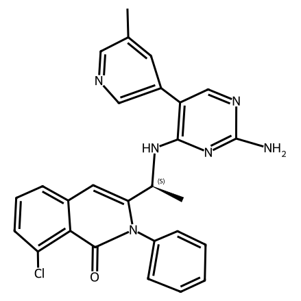 Cc1cncc(-c2cnc(N)nc2N[C@@H](C)c2cc3cccc(Cl)c3c(=O)n2-c2ccccc2)c1